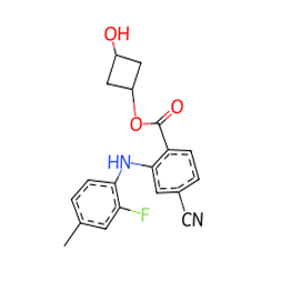 Cc1ccc(Nc2cc(C#N)ccc2C(=O)OC2CC(O)C2)c(F)c1